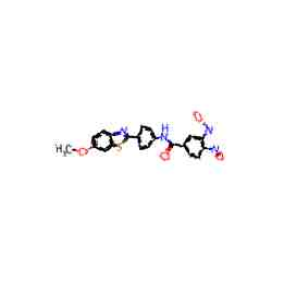 COc1ccc2nc(-c3ccc(NC(=O)c4ccc(N=O)c(N=O)c4)cc3)sc2c1